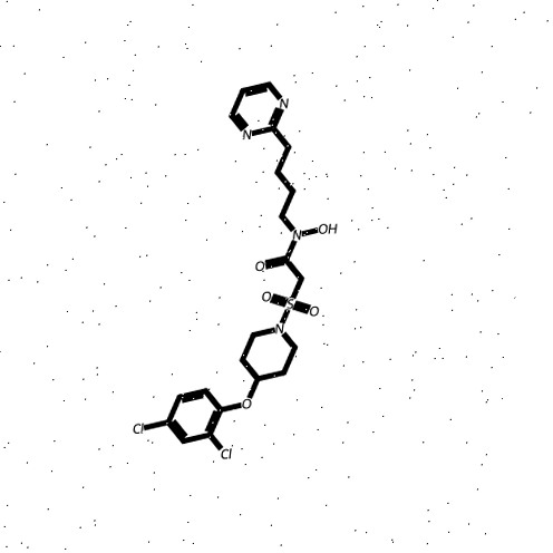 O=C(CS(=O)(=O)N1CCC(Oc2ccc(Cl)cc2Cl)CC1)N(O)CCCCc1ncccn1